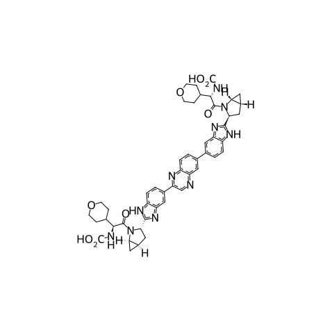 O=C(O)N[C@H](C(=O)N1[C@@H]2C[C@@H]2C[C@H]1c1nc2cc(-c3ccc4nc(-c5ccc6[nH]c([C@@H]7C[C@H]8C[C@H]8N7C(=O)[C@@H](NC(=O)O)C7CCOCC7)nc6c5)cnc4c3)ccc2[nH]1)C1CCOCC1